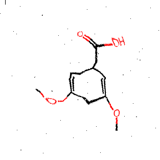 COC1=CC(C(=O)O)C=C(OC)C1